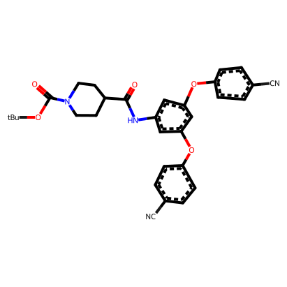 CC(C)(C)OC(=O)N1CCC(C(=O)Nc2cc(Oc3ccc(C#N)cc3)cc(Oc3ccc(C#N)cc3)c2)CC1